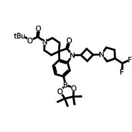 CC(C)(C)OC(=O)N1CCC2(CC1)C(=O)N(C1CC(N3CCC(C(F)F)C3)C1)c1cc(B3OC(C)(C)C(C)(C)O3)ccc12